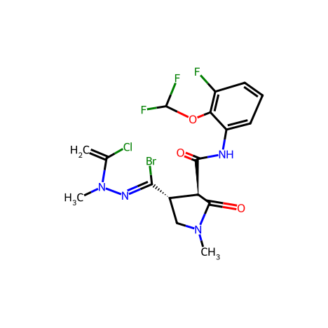 C=C(Cl)N(C)/N=C(\Br)[C@H]1CN(C)C(=O)[C@@H]1C(=O)Nc1cccc(F)c1OC(F)F